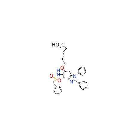 O=C(O)CCCCCOc1cc2c(cc1NS(=O)(=O)Cc1ccccc1)nc(-c1ccccc1)n2-c1ccccc1